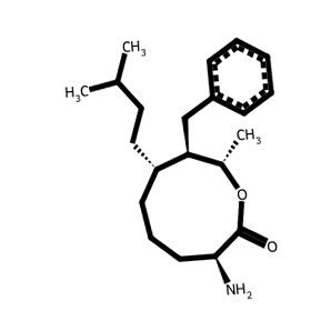 CC(C)CC[C@H]1CCC[C@H](N)C(=O)O[C@@H](C)[C@@H]1Cc1ccccc1